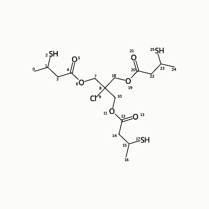 CC(S)CC(=O)OCC(Cl)(COC(=O)CC(C)S)COC(=O)CC(C)S